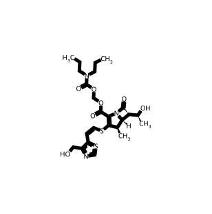 CCCN(CCC)C(=O)OCOC(=O)C1=C(S/C=C\c2scnc2CO)[C@H](C)[C@@H]2[C@@H]([C@@H](C)O)C(=O)N12